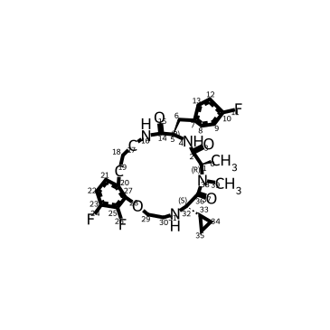 C[C@@H]1C(=O)N[C@H](Cc2ccc(F)cc2)C(=O)NCCCc2ccc(F)c(F)c2OCCN[C@@H](C2CC2)C(=O)N1C